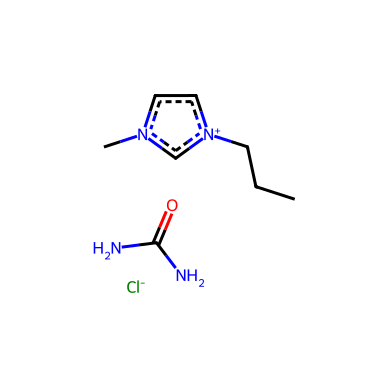 CCC[n+]1ccn(C)c1.NC(N)=O.[Cl-]